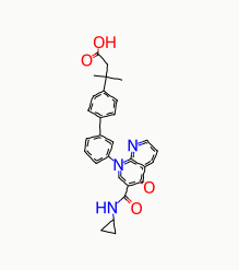 CC(C)(CC(=O)O)c1ccc(-c2cccc(-n3cc(C(=O)NC4CC4)c(=O)c4cccnc43)c2)cc1